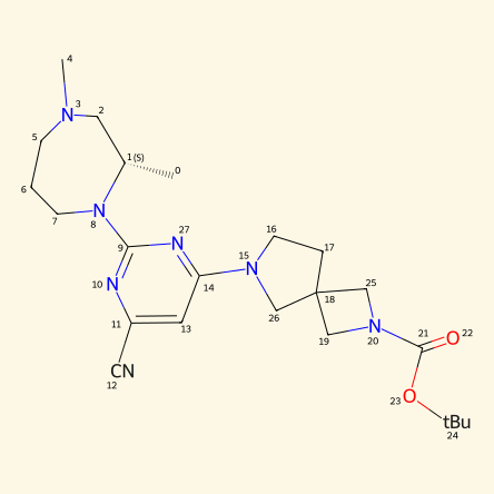 C[C@H]1CN(C)CCCN1c1nc(C#N)cc(N2CCC3(CN(C(=O)OC(C)(C)C)C3)C2)n1